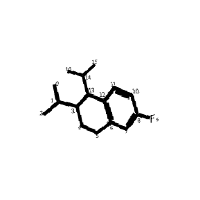 CC(C)C1CCc2cc(F)ccc2C1C(C)C